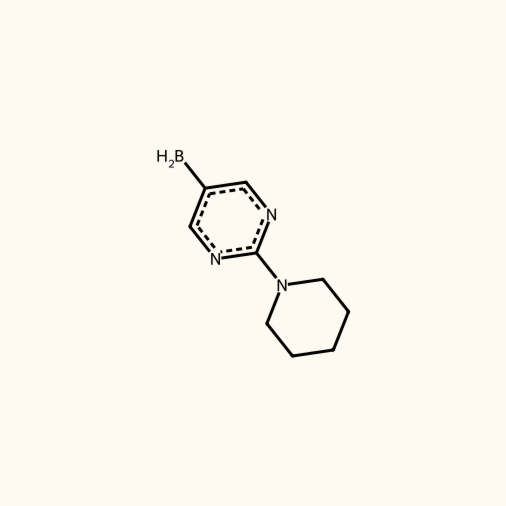 Bc1cnc(N2CCCCC2)nc1